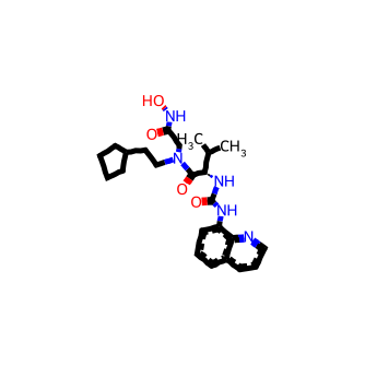 CC(C)[C@H](NC(=O)Nc1cccc2cccnc12)C(=O)N(CCC1CCCC1)CC(=O)NO